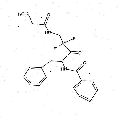 O=C(O)CC(=O)NCC(F)(F)C(=O)C(Cc1ccccc1)NC(=O)c1ccccc1